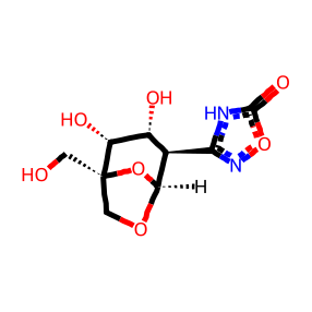 O=c1[nH]c([C@H]2[C@H]3OC[C@](CO)(O3)[C@H](O)[C@@H]2O)no1